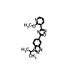 COc1ncccc1-c1noc(-c2ccc3c(c2)nnn3C(C)C)n1